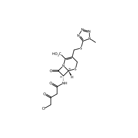 Cn1nnnc1SCC1=C(C(=O)O)N2C(=O)[C@@H](NC(=O)CC(=O)CCl)[C@H]2SC1